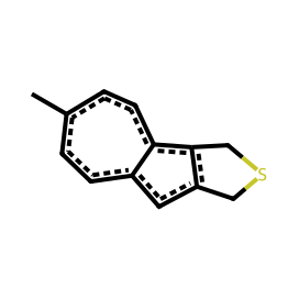 Cc1ccc2cc3c(c-2cc1)CSC3